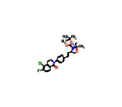 CC(C)(C)OC(=O)N1C(/C=C/c2ccc(N3CCc4c(ccc(Cl)c4Cl)C3=O)cc2)COC1(C)C